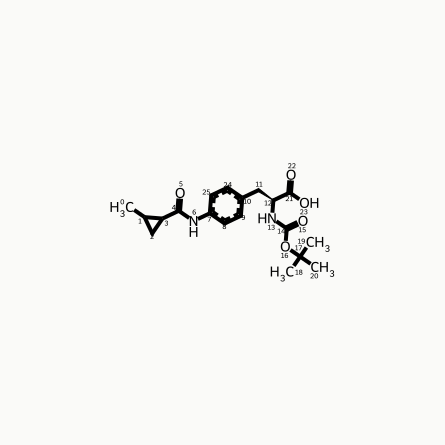 CC1CC1C(=O)Nc1ccc(C[C@H](NC(=O)OC(C)(C)C)C(=O)O)cc1